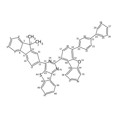 CC1(C)c2ccccc2-c2ccc(-c3nc(-c4ccc(-c5ccc(-c6ccccc6)cc5)c5oc6ccccc6c45)nc4c3sc3ccccc34)cc21